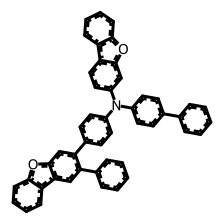 c1ccc(-c2ccc(N(c3ccc(-c4cc5oc6ccccc6c5cc4-c4ccccc4)cc3)c3ccc4c(c3)oc3ccccc34)cc2)cc1